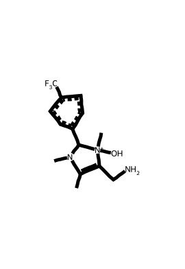 CC1=C(CN)[N+](C)(O)C(c2ccc(C(F)(F)F)cc2)N1C